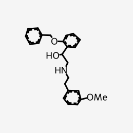 COc1cccc(CCNCC(O)c2ccccc2OCc2ccccc2)c1